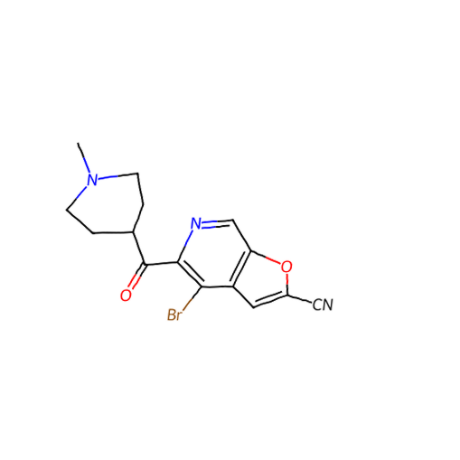 CN1CCC(C(=O)c2ncc3oc(C#N)cc3c2Br)CC1